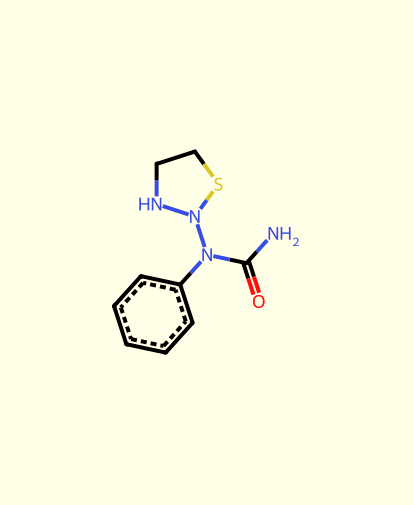 NC(=O)N(c1ccccc1)N1NCCS1